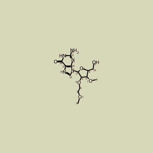 COCCOC1C(OC)C(CO)OC1n1cnc2c(=O)[nH]c(N)nc21